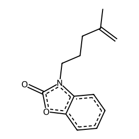 C=C(C)CCCn1c(=O)oc2ccccc21